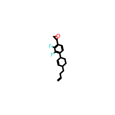 C=CCCC1C=CC(c2ccc(C3CO3)c(F)c2F)CC1